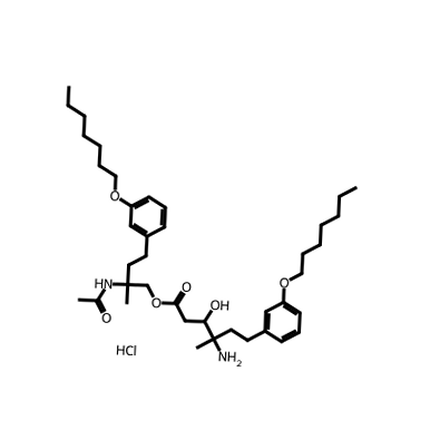 CCCCCCCOc1cccc(CCC(C)(COC(=O)CC(O)C(C)(N)CCc2cccc(OCCCCCCC)c2)NC(C)=O)c1.Cl